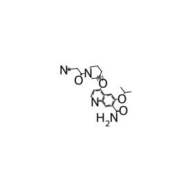 CC(C)Oc1cc2c(O[C@@H]3CCCN(C(=O)CC#N)C3)ccnc2cc1C(N)=O